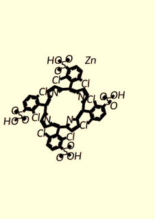 O=S(=O)(O)c1ccc(Cl)c(C2=C3C=CC(=N3)C(c3c(Cl)ccc(S(=O)(=O)O)c3Cl)=C3C=CC(=N3)C(c3c(Cl)ccc(S(=O)(=O)O)c3Cl)=C3C=CC(=N3)C(c3c(Cl)ccc(S(=O)(=O)O)c3Cl)=C3C=CC2=N3)c1Cl.[Zn]